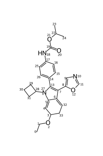 CCOC1C=c2c(c(-c3cnco3)c(-c3ccc(NC(=O)OC(C)C)cc3)n2C2CCC2)=CC1